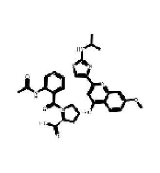 COc1ccc2c(O[C@@H]3C[C@@H](C(=O)O)N(C(=O)c4ccccc4NC(C)=O)C3)cc(-c3csc(NC(C)C)n3)nc2c1